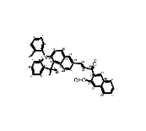 Cc1ccccc1N1c2ccccc2C(C)(C)c2c1ccc1cc(C=CC(=O)c3cc4ccccc4cc3C=O)ccc21